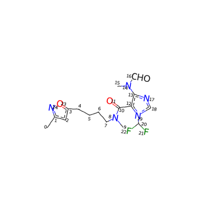 Cc1cc(CCCCN(C)C(=O)c2c(N(C)C=O)ncn2C(F)F)on1